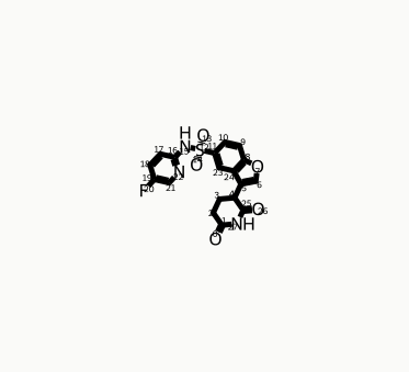 O=C1CCC(c2coc3ccc(S(=O)(=O)Nc4ccc(F)cn4)cc23)C(=O)N1